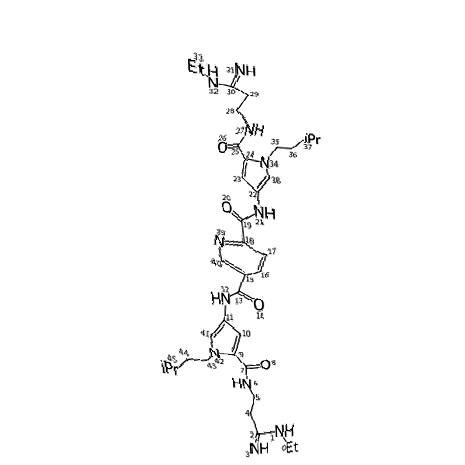 CCNC(=N)CCNC(=O)c1cc(NC(=O)c2ccc(C(=O)Nc3cc(C(=O)NCCC(=N)NCC)n(CCC(C)C)c3)nc2)cn1CCC(C)C